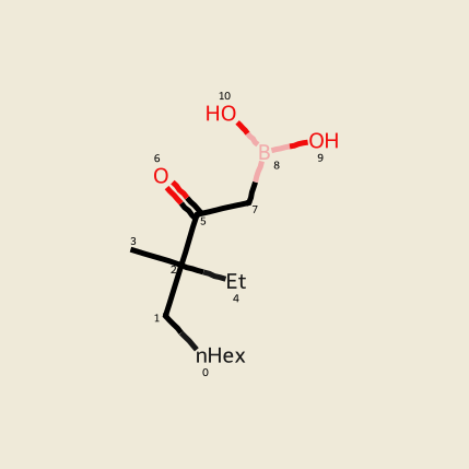 CCCCCCCC(C)(CC)C(=O)CB(O)O